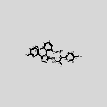 COc1cccc(OC)c1-n1c(NSC(C)C(OC)c2ncc(F)cn2)nnc1-c1cccc(C)n1